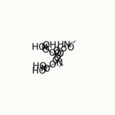 CCCC(=O)Nc1ccc(OCC(CN(C(=O)COCCON(O)O)C(C)C)OC(=O)COCCON(O)O)c(C(C)=O)c1